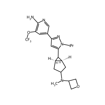 CC(C)n1nc(-c2cnc(N)c(OC(F)(F)F)c2)cc1C1[C@H]2CC(N(C)C3COC3)C[C@@H]12